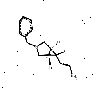 NCCC1(F)[C@@H]2CN(Cc3ccccc3)C[C@H]21